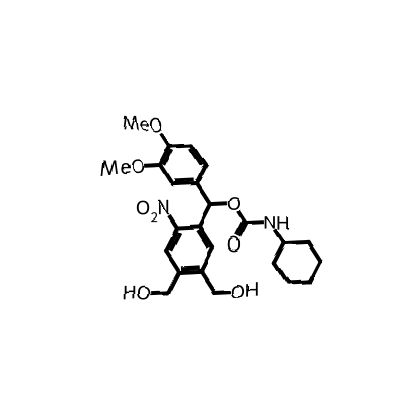 COc1ccc(C(OC(=O)NC2CCCCC2)c2cc(CO)c(CO)cc2[N+](=O)[O-])cc1OC